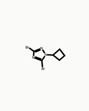 Brc1nc(Br)n(C2CCC2)n1